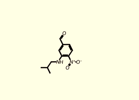 CC(C)CNc1cc(C=O)ccc1[N+](=O)[O-]